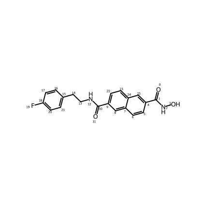 O=C(NO)c1ccc2cc(C(=O)NCCc3ccc(F)cc3)ccc2c1